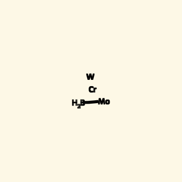 [BH2][Mo].[Cr].[W]